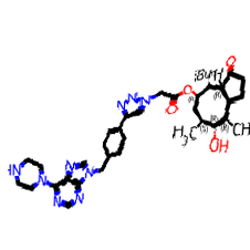 CC[C@@H](C)C1[C@@H]2C(=O)CCC2[C@@H](C)[C@H](O)[C@@H](C)C[C@H]1OC(=O)Cn1cc(C2=CCC(Cn3cnc4c(N5CCNCC5)ncnc43)C=C2)nn1